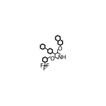 FC(F)(F)c1cccc(COC2CNCC(COc3ccc4ccccc4c3)C2c2ccc(-c3ccccc3)cc2)c1